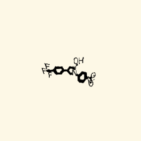 O=[N+]([O-])c1ccc(N2CC(c3ccc(C(F)(F)F)cc3)C[C@@H]2CO)cc1